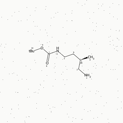 C[C@@H](CN)CCNC(=O)OC(C)(C)C